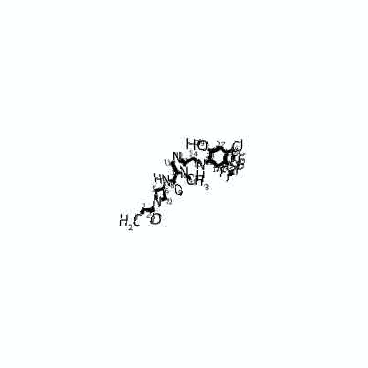 C=CC(=O)N1CC(NC(=O)c2cnc(CNc3cc(S(F)(F)(F)(F)F)c(Cl)cc3O)n2C)C1